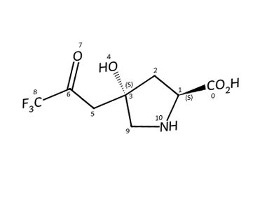 O=C(O)[C@@H]1C[C@](O)(CC(=O)C(F)(F)F)CN1